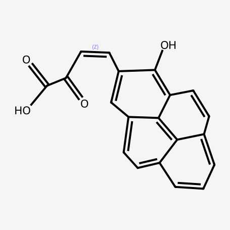 O=C(O)C(=O)/C=C\c1cc2ccc3cccc4ccc(c1O)c2c34